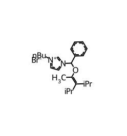 CCCC[n+]1ccn(C(OC(C)=C(C(C)C)C(C)C)c2ccccc2)c1.[Br-]